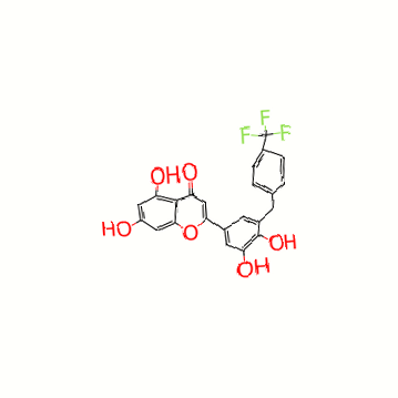 O=c1cc(-c2cc(O)c(O)c(Cc3ccc(C(F)(F)F)cc3)c2)oc2cc(O)cc(O)c12